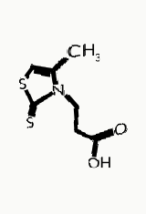 Cc1csc(=S)n1CCC(=O)O